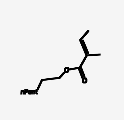 CC=C(C)C(=O)OCCCCCCC